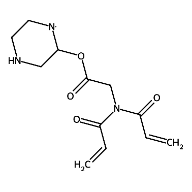 C=CC(=O)N(CC(=O)OC1CNCC[N]1)C(=O)C=C